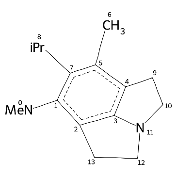 CNc1c2c3c(c(C)c1C(C)C)CCN3CC2